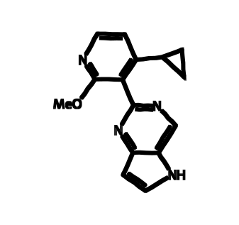 COc1nccc(C2CC2)c1-c1ncc2[nH]ccc2n1